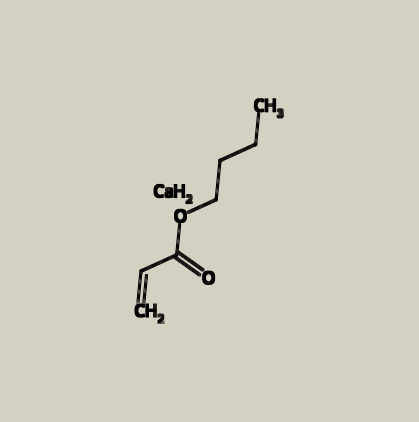 C=CC(=O)OCCCC.[CaH2]